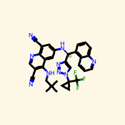 CC(C)(C)CNc1c(C#N)cnc2c(C#N)cc(N[C@H](c3cn(C4(C(F)(F)F)CC4)nn3)c3cccc4ncccc34)cc12